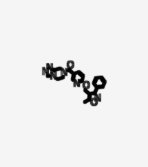 Cc1onc(-c2ccccc2)c1COc1ccc(C(=O)N2CCn3cnnc3C2)cn1